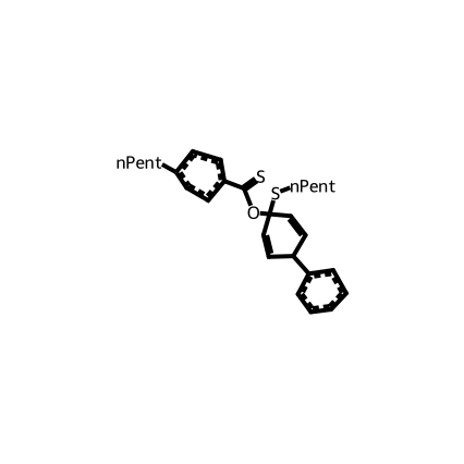 CCCCCSC1(OC(=S)c2ccc(CCCCC)cc2)C=CC(c2ccccc2)C=C1